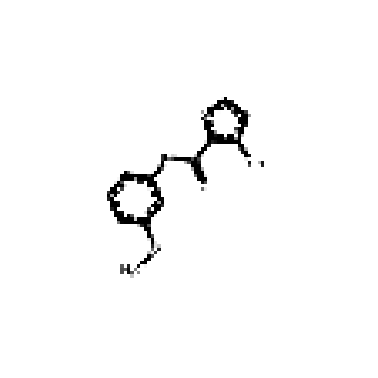 COc1cccc(NC(=O)c2sccc2C)c1